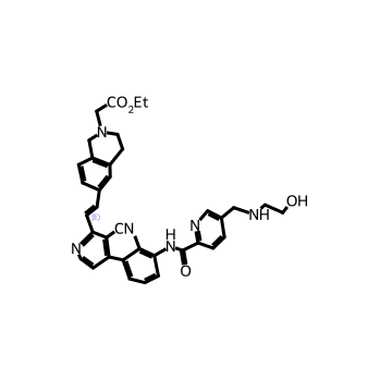 CCOC(=O)CN1CCc2cc(/C=C/c3nccc(-c4cccc(NC(=O)c5ccc(CNCCO)cn5)c4C)c3C#N)ccc2C1